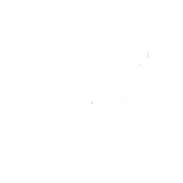 CC(C)(C)OC(=O)C(C)(C)OC[C@@H]1CCC[C@H](COC2CCCCO2)C1